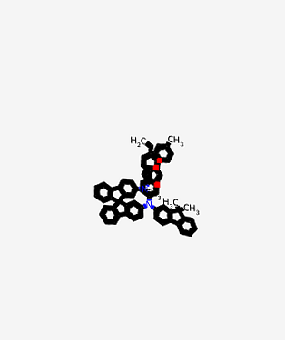 C=Cc1ccc(-c2ccc(N(c3ccc4c(c3)C(C)(C)c3ccccc3-4)c3ccc4c(c3)C3(c5ccccc5-c5ccc(N(C)c6ccc(-c7ccc(C)cc7)cc6)cc53)c3ccccc3-4)cc2)cc1